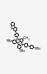 Cc1cc2c3c(c1)N(c1ccc(-c4ccc5c(c4)sc4ccccc45)cc1)c1cc(C(C)(C)C)ccc1B3c1ccc(C(C)(C)C)cc1N2c1ccc(-c2ccc(C(C)(C)C)cc2)cc1